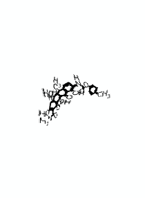 Cc1ccc(OC(=O)Nc2ccc3c(c2O)C(=O)C2=C(O)[C@]4(O)C(=O)C(C(N)=O)=C(O)C[C@@H]4[C@@H](O)[C@@H]2[C@H]3C)cc1